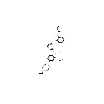 C=CC(=O)Nc1ccccc1Oc1ccnc(Nc2ccc(N3CCN(C(C)=O)CC3)cc2OCC)n1